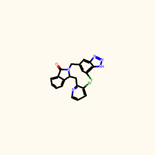 O=C1c2ccccc2C(Cc2ncccc2Br)N1Cc1cc(F)c2[nH]nnc2c1